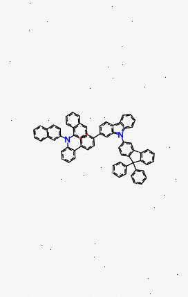 c1ccc(C2(c3ccccc3)c3ccccc3-c3cc(-n4c5ccccc5c5ccc(-c6ccc(-c7ccccc7N(c7ccc8ccccc8c7)c7cccc8ccccc78)cc6)cc54)ccc32)cc1